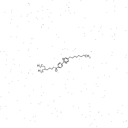 CCCCCCCCc1cnc(-c2ccc(C(=O)CCCCC(C)CC)cc2)nc1